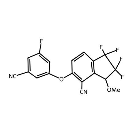 COC1c2c(ccc(Oc3cc(F)cc(C#N)c3)c2C#N)C(F)(F)C1(F)F